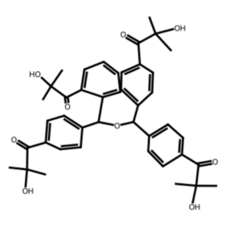 CC(C)(O)C(=O)c1ccc(C(OC(c2ccc(C(=O)C(C)(C)O)cc2)c2ccccc2C(=O)C(C)(C)O)c2ccc(C(=O)C(C)(C)O)cc2)cc1